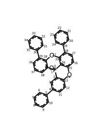 O=P12c3cc(-c4ccccc4)ccc3Oc3ccc(-c4ccccc4)c(c31)Oc1c(-c3ccccc3)cccc12